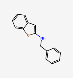 [CH](Nc1cc2ccccc2s1)c1ccccc1